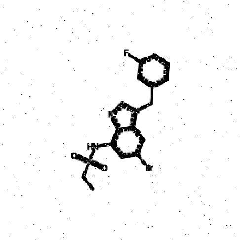 CCS(=O)(=O)Nc1cc(Br)cc2c1ncn2Cc1cccc(F)c1